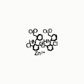 O=C([O-])Cc1ccccc1Nc1c(Cl)cccc1Cl.O=C([O-])Cc1ccccc1Nc1c(Cl)cccc1Cl.[Zn+2]